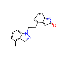 Cc1cccc2c1cnn2CCc1cccc2c1=CC(=O)N=2